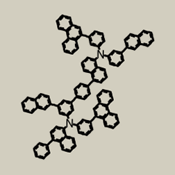 c1ccc(-c2ccc(N(c3cc(-c4ccc(-c5cccc6c(N(c7cccc(-c8ccc9ccccc9c8)c7)c7cccc(-c8cc9ccccc9c9ccccc89)c7)cccc56)cc4)cc(-c4ccc5ccccc5c4)c3)c3cccc(-c4cc5ccccc5c5ccccc45)c3)c3ccccc23)cc1